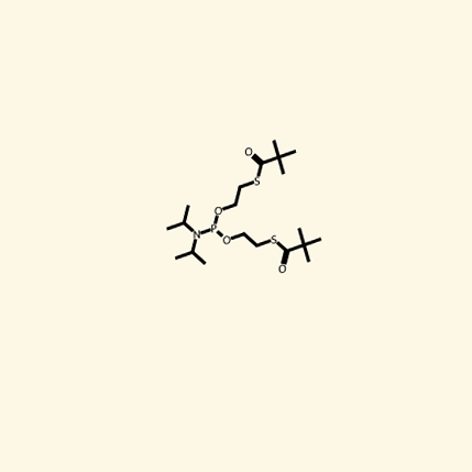 CC(C)N(C(C)C)P(OCCSC(=O)C(C)(C)C)OCCSC(=O)C(C)(C)C